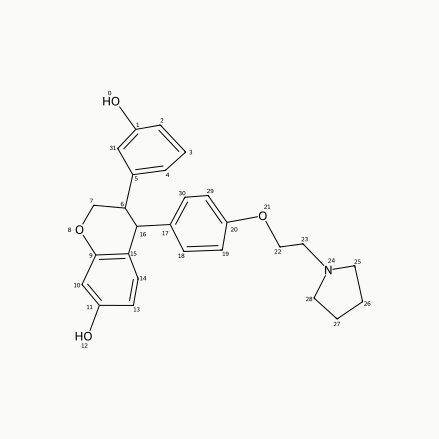 Oc1cccc(C2COc3cc(O)ccc3C2c2ccc(OCCN3CCCC3)cc2)c1